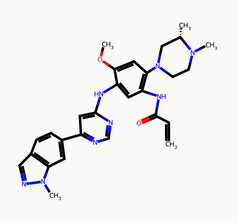 C=CC(=O)Nc1cc(Nc2cc(-c3ccc4cnn(C)c4c3)ncn2)c(OC)cc1N1CCN(C)[C@@H](C)C1